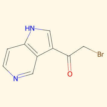 O=C(CBr)c1c[nH]c2ccncc12